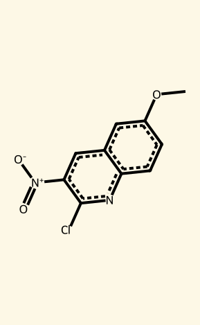 COc1ccc2nc(Cl)c([N+](=O)[O-])cc2c1